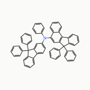 c1ccc(N(c2ccc3c(c2)C(c2ccccc2)(c2ccccc2)c2ccccc2-3)c2cc3c(c4ccccc24)-c2ccccc2C3(c2ccccc2)c2ccccc2)cc1